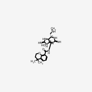 CNC[C@@H]1NC(=N)N2CC(NC(=O)c3cccc4c3OCCC4(C)C)[C@@H](O)C23NC(=N)NC13